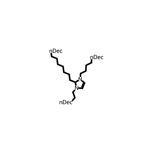 CCCCCCCCCCCCCCCCCC1N(CCCCCCCCCCCC)C=CN1CCCCCCCCCCCCCC